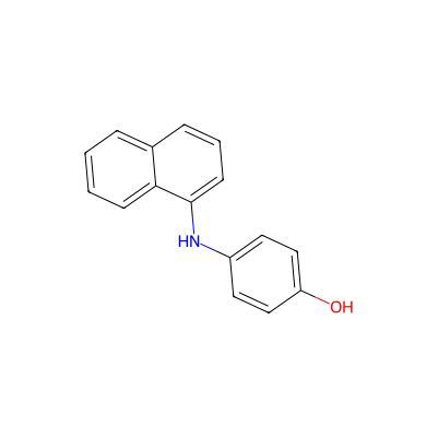 Oc1ccc(Nc2cccc3ccccc23)cc1